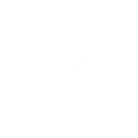 CCC1SCC(C(=O)OC)C1=O